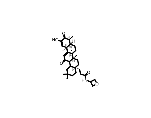 C[C@@H]1C(=O)C(C#N)=C[C@]2(C)C3=CC(=O)C4C5CC(C)(C)CC[C@]5(CCC(=O)NC5COC5)CC[C@@]4(C)[C@]3(C)CC[C@@H]12